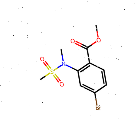 COC(=O)c1ccc(Br)cc1N(C)S(C)(=O)=O